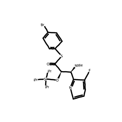 CN[C@@H](c1ncccc1F)[C@@H](O[Si](C(C)C)(C(C)C)C(C)C)C(=O)Sc1ccc(Br)cc1